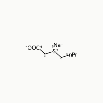 CCCCSCC(=O)[O-].[Na+]